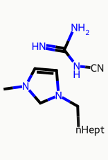 CCCCCCCCN1C=CN(C)C1.N#CNC(=N)N